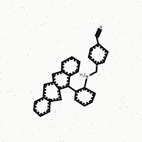 C[S+](Cc1ccc(C#N)cc1)c1ccccc1-c1c2ccccc2cc2cc3ccccc3cc12